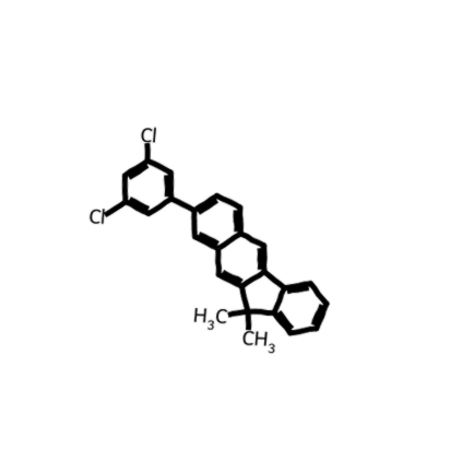 CC1(C)c2ccccc2-c2cc3ccc(-c4cc(Cl)cc(Cl)c4)cc3cc21